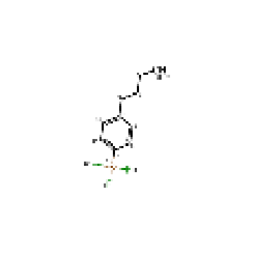 CCCCc1ccc(S(F)(F)F)cc1